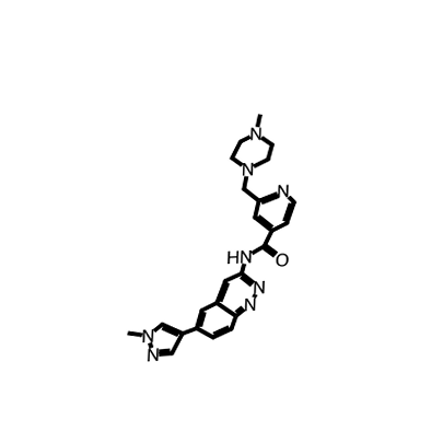 CN1CCN(Cc2cc(C(=O)Nc3cc4cc(-c5cnn(C)c5)ccc4nn3)ccn2)CC1